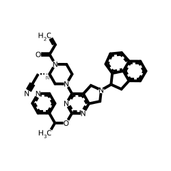 C=CC(=O)N1CCN(c2nc(OC(C)c3ccncc3)nc3c2CN(C2Cc4cccc5cccc2c45)C3)C[C@@H]1CC#N